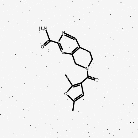 Cc1cc(C(=O)N2CCc3[c]nc(C(N)=O)nc3C2)c(C)o1